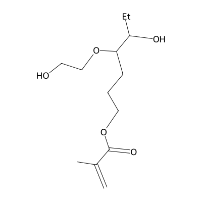 C=C(C)C(=O)OCCCC(OCCO)C(O)CC